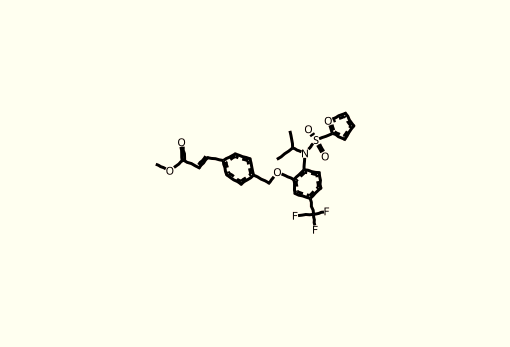 COC(=O)C=Cc1ccc(COc2cc(C(F)(F)F)ccc2N(C(C)C)S(=O)(=O)c2ccco2)cc1